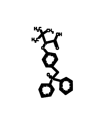 CC(C)(C)N(Oc1ccc(CP(=O)(c2ccccc2)c2ccccc2)cc1)C(=O)O